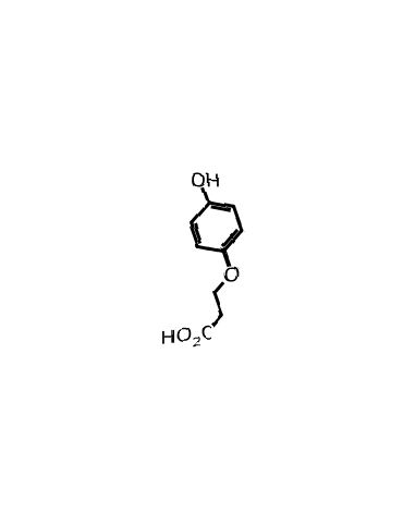 O=C(O)CCOc1ccc(O)cc1